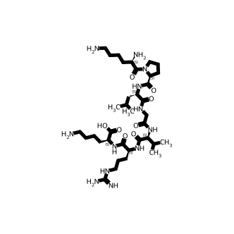 CC(C)C[C@H](NC(=O)[C@@H]1CCCN1C(=O)[C@@H](N)CCCCN)C(=O)NCC(=O)N[C@H](C(=O)N[C@@H](CCCNC(=N)N)C(=O)N[C@@H](CCCCN)C(=O)O)C(C)C